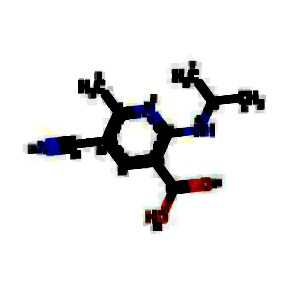 Cc1nc(NC(C)C)c(C(=O)O)cc1C#N